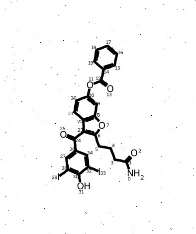 NC(=O)CCCc1oc2cc(OC(=O)c3ccccc3)ccc2c1C(=O)c1cc(I)c(O)c(I)c1